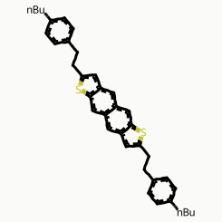 CCCCc1ccc(CCc2cc3cc4cc5sc(CCc6ccc(CCCC)cc6)cc5cc4cc3s2)cc1